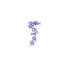 Cc1cc(Nc2cc(C)[nH]n2)nc(-c2ccc(C(=O)NCc3ccc(-c4ccc(F)nc4C)nc3)nc2)n1